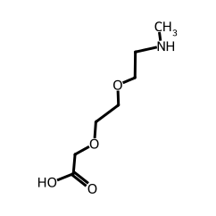 CNCCOCCOCC(=O)O